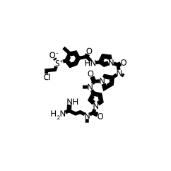 Cc1cc(C(=O)Nc2ccn(C(=O)N(C)c3ccn(C(=O)N(C)c4ccn(C(=O)N(C)CCC(=N)N)c4)c3)c2)ccc1[S+]([O-])CCCl